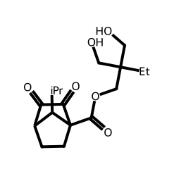 CCC(CO)(CO)COC(=O)C12CCC(C(=O)C1=O)C2C(C)C